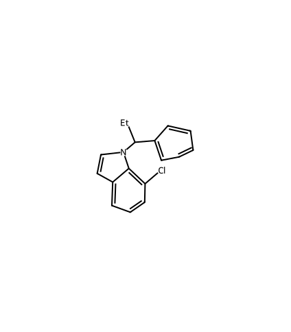 [CH2]CC(c1ccccc1)n1ccc2cccc(Cl)c21